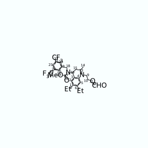 CCc1cc2c(cc1CC)N(CCOC=O)C(C)CC2N(Cc1cc(C(F)(F)F)cc(C(F)(F)F)c1)C(=O)OC